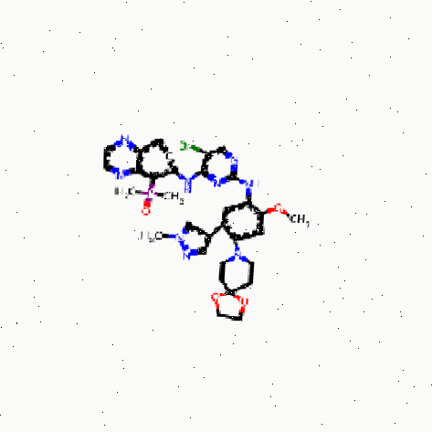 COc1cc(N2CCC3(CC2)OCCO3)c(-c2cnn(C)c2)cc1Nc1ncc(Br)c(Nc2ccc3nccnc3c2P(C)(C)=O)n1